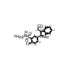 CCCCCCNS(=O)(=O)c1cc(-c2[nH]c3ccccc3c2CC(=O)O)ccc1Cl